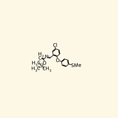 C=C(/N=C/c1cc(Cl)ccc1Oc1ccc(SC)cc1)O[Si](C)(C)C